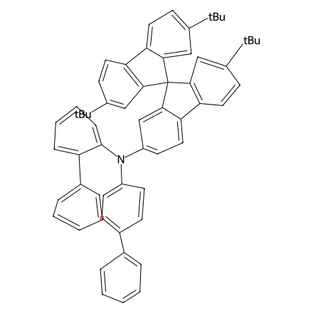 CC(C)(C)c1ccc2c(c1)C1(c3cc(N(c4ccc(-c5ccccc5)cc4)c4ccccc4-c4ccccc4)ccc3-2)c2cc(C(C)(C)C)ccc2-c2ccc(C(C)(C)C)cc21